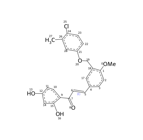 COc1ccc(/C=C/C(=O)c2ccc(O)cc2O)cc1COc1ccc(Cl)c(C)c1